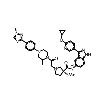 CS[C@@]1(C(=O)Nc2ccc3[nH]nc(-c4ccc(OC5CC5)nc4)c3c2)CCN(CC(=O)N2CCN(c3ccc(-c4ncn(C)n4)cc3)CC2C)C1